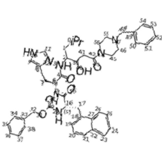 CC(C)CC(NC(=O)[C@H](Cc1c[nH]cn1)NC(=O)[C@H](Cc1cccc2ccccc12)NC(=O)OCc1ccccc1)C(O)CC(=O)N1CCN(Cc2ccccc2)CC1